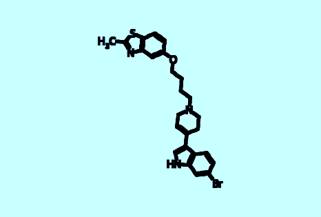 Cc1nc2cc(OCCCCN3CC=C(c4c[nH]c5cc(Br)ccc45)CC3)ccc2s1